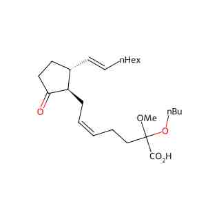 CCCCCC/C=C/[C@H]1CCC(=O)[C@@H]1C/C=C\CCC(OC)(OCCCC)C(=O)O